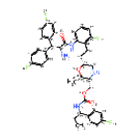 CC[C@@H](NC(=O)OC[C@H]1NC[C@@H](CCc2c(F)cccc2NC(=O)C(N)C(c2ccc(F)cc2)c2ccc(F)cc2)O[C@H]1C)c1ccc(F)cc1